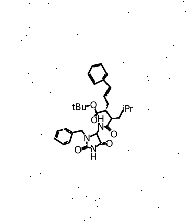 CC(C)C[C@@H](C(=O)NC1C(=O)NC(=O)N1Cc1ccccc1)[C@H](CC=Cc1ccccc1)C(=O)OC(C)(C)C